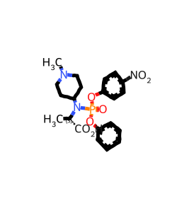 C[C@@H](C(=O)O)N(C1CCN(C)CC1)P(=O)(Oc1ccccc1)Oc1ccc([N+](=O)[O-])cc1